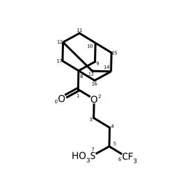 O=C(OCCC(C(F)(F)F)S(=O)(=O)O)C12CC3CC(CC(C3)C1)C2